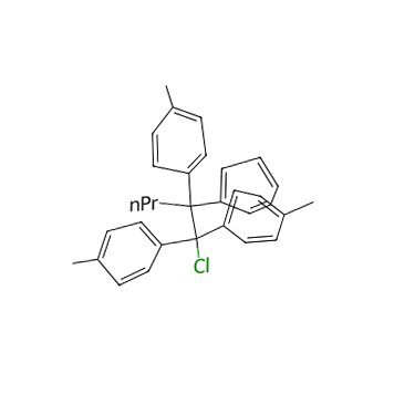 CCCC(c1ccccc1)(c1ccc(C)cc1)C(Cl)(c1ccc(C)cc1)c1ccc(C)cc1